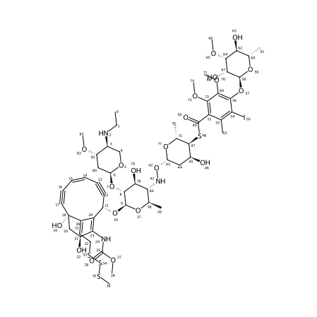 CCN[C@H]1CO[C@@H](O[C@H]2[C@H](O[C@H]3C#C/C=C\C#C[C@]4(O)C[C@H](O)C(NC(=O)OC)=C3/C4=C\CSSSC)O[C@H](C)[C@@H](NO[C@H]3C[C@H](O)[C@H](SC(=O)c4c(C)c(I)c(O[C@@H]5O[C@@H](C)[C@H](O)[C@@H](OC)[C@H]5O)c(OC)c4OC)[C@@H](C)O3)[C@@H]2O)C[C@@H]1OC